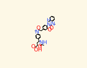 COc1cc(CC(=O)N(C)c2ccc(C(CCC(=O)O)NC(C)=O)cc2)ccc1NC(=O)N(C)c1ccccc1C